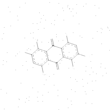 Nc1cc(C=O)c(N)c2c1C(=O)c1c(N)c(C=O)cc(N)c1C2=O